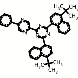 CC(C)(C)c1ccc(-c2nc(-c3cnc(-c4ccccc4)cn3)nc(-c3ccc(C(C)(C)C)c4ccccc34)n2)c2ccccc12